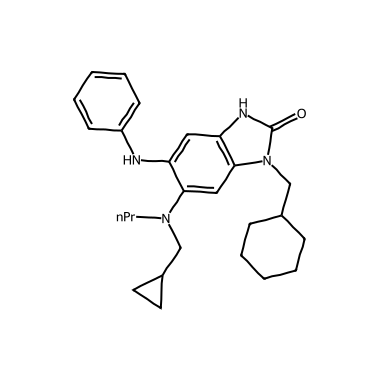 CCCN(CC1CC1)c1cc2c(cc1Nc1ccccc1)[nH]c(=O)n2CC1CCCCC1